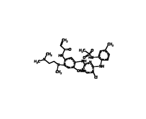 C=CC(=O)Nc1cc(Nc2ncc(Cl)c(Nc3ccc(C)cc3NS(C)(=O)=O)n2)c(OC)cc1N(C)CCN(C)C